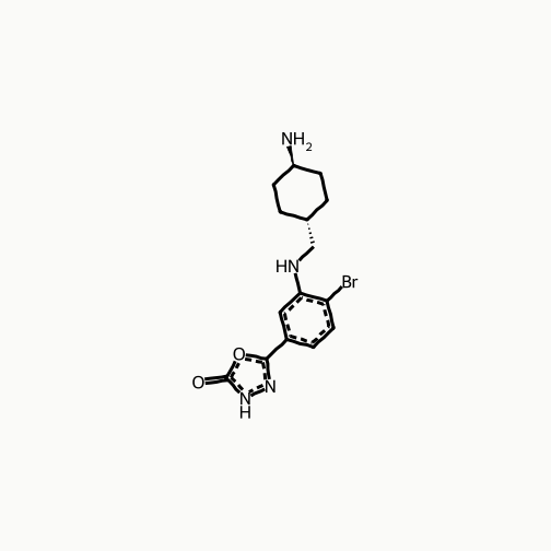 N[C@H]1CC[C@H](CNc2cc(-c3n[nH]c(=O)o3)ccc2Br)CC1